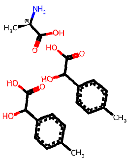 C[C@@H](N)C(=O)O.Cc1ccc(C(O)C(=O)O)cc1.Cc1ccc(C(O)C(=O)O)cc1